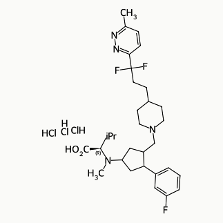 Cc1ccc(C(F)(F)CCC2CCN(CC3CC(N(C)[C@@H](C(=O)O)C(C)C)CC3c3cccc(F)c3)CC2)nn1.Cl.Cl.Cl